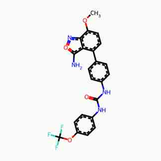 COc1ccc(-c2ccc(NC(=O)Nc3ccc(OC(F)(F)F)cc3)cc2)c2c(N)onc12